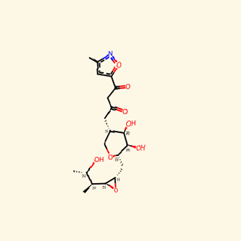 Cc1cc(C(=O)CC(=O)C[C@H]2CO[C@@H](C[C@@H]3O[C@H]3[C@@H](C)[C@H](C)O)[C@H](O)[C@@H]2O)on1